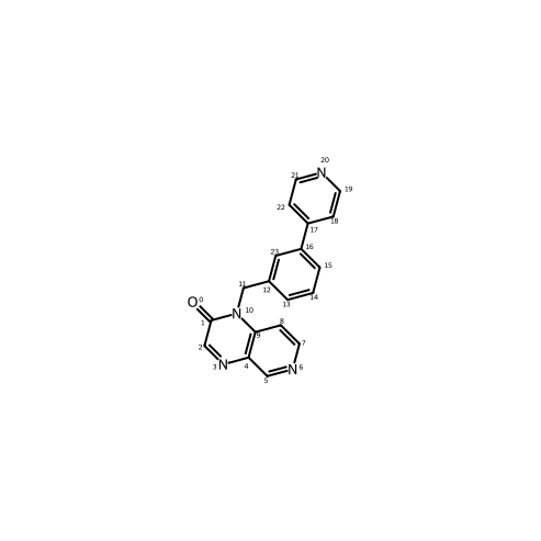 O=c1cnc2cnccc2n1Cc1cccc(-c2ccncc2)c1